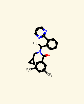 CC(c1ccccc1-c1ncccn1)N(CC1CC1)C(=O)c1cc(C(F)(F)F)cc(C(F)(F)F)c1